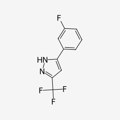 Fc1cccc(-c2cc(C(F)(F)F)n[nH]2)c1